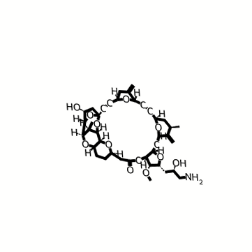 C=C1C[C@@H]2CC[C@]34C[C@@H](O)[C@H](O3)[C@@H]3O[C@H]5CC[C@H](CC(=O)C[C@@H]6[C@@H](OC)[C@@H](C[C@H](O)CN)O[C@H]6C[C@H]6O[C@@H](CC[C@@H]1O2)C[C@@H](C)C6=C)O[C@@H]5[C@H](O4)[C@@H]3C